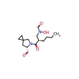 CCCC[C@H](CN(O)C=O)C(=O)N1CC2(CC2)C[C@H]1C=O